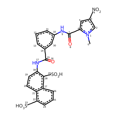 Cn1cc([N+](=O)[O-])cc1C(=O)Nc1cccc(C(=O)Nc2ccc3c(S(=O)(=O)O)cccc3c2S(=O)(=O)O)c1